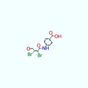 O=C/C(Br)=C(/Br)C(=O)Nc1ccc(C(=O)O)cc1